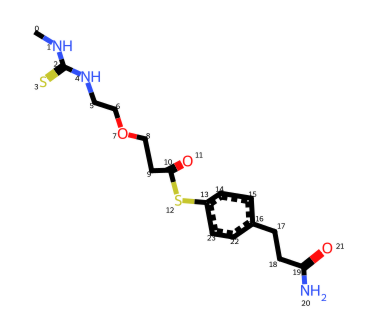 CNC(=S)NCCOCCC(=O)Sc1ccc(CCC(N)=O)cc1